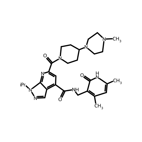 Cc1cc(C)c(CNC(=O)c2cc(C(=O)N3CCC(N4CCN(C)CC4)CC3)nc3c2cnn3C(C)C)c(=O)[nH]1